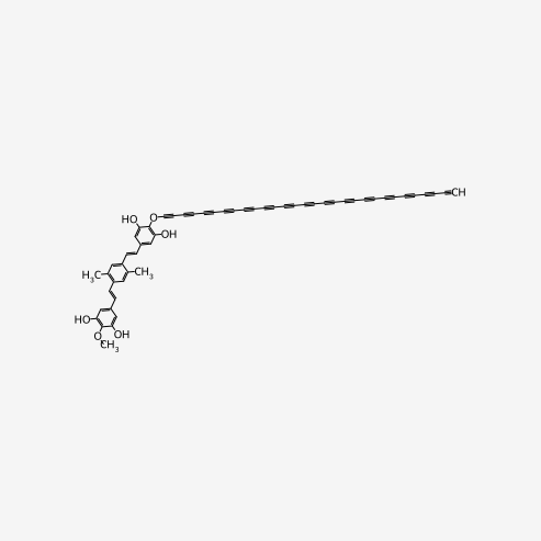 C#CC#CC#CC#CC#CC#CC#CC#CC#CC#CC#CC#CC#CC#CC#COc1c(O)cc(C=Cc2cc(C)c(C=Cc3cc(O)c(OC)c(O)c3)cc2C)cc1O